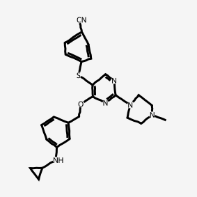 CN1CCN(c2ncc(Sc3ccc(C#N)cc3)c(OCc3cccc(NC4CC4)c3)n2)CC1